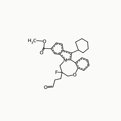 COC(=O)c1ccc2c(C3CCCCC3)c3n(c2c1)CC(F)(CCC=O)COc1ccccc1-3